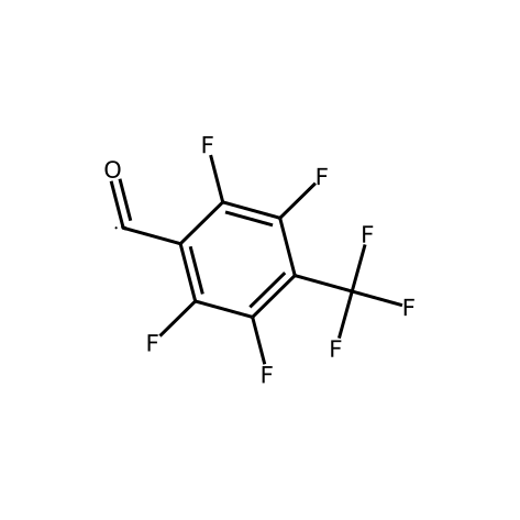 O=[C]c1c(F)c(F)c(C(F)(F)F)c(F)c1F